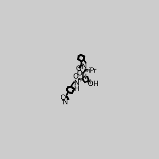 CC(C)[C@@H](C(=O)N1C[C@H](O)C[C@H]1C(=O)NCc1ccc(-c2cnco2)cc1)N1Cc2ccccc2C1=O